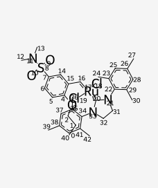 CCCOc1ccc(S(=O)(=O)N(C)C)cc1[CH]=[Ru]([Cl])([Cl])=[C]1N(c2c(C)cc(C)cc2C)CCN1c1c(C)cc(C)cc1C